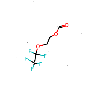 O=[C]OCCOC(F)(F)C(F)(F)F